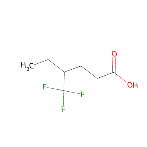 CCC(CCC(=O)O)C(F)(F)F